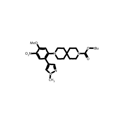 COc1cc(N2CCC3(CCN(C(=O)OC(C)(C)C)CC3)CC2)c(-c2cnn(C)c2)cc1[N+](=O)[O-]